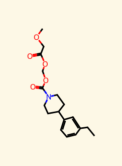 CCc1cccc(C2CCN(C(=O)OCOC(=O)COC)CC2)c1